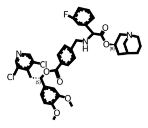 COc1ccc([C@H](Cc2c(Cl)cncc2Cl)OC(=O)c2ccc(CNC(C(=O)O[C@@H]3CC4CCCN(C4)C3)c3cccc(F)c3)cc2)cc1OC